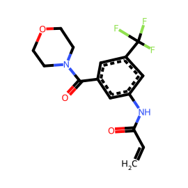 C=CC(=O)Nc1cc(C(=O)N2CCOCC2)cc(C(F)(F)F)c1